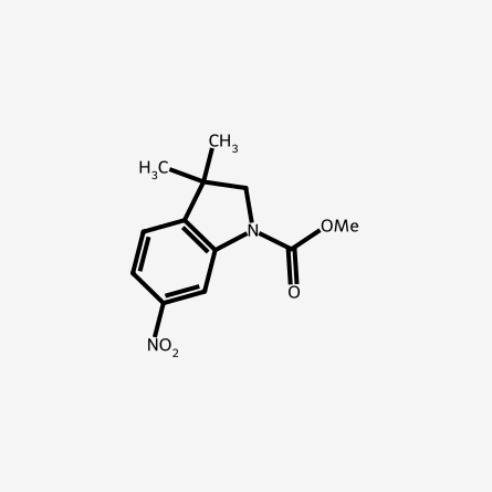 COC(=O)N1CC(C)(C)c2ccc([N+](=O)[O-])cc21